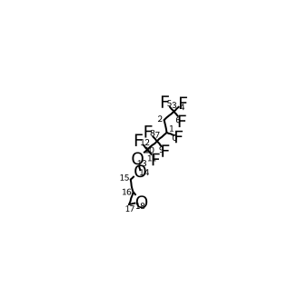 FC(CC(F)(F)F)C(F)(F)C(F)(F)OOCC1CO1